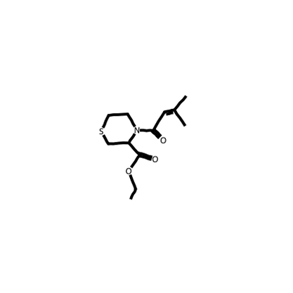 CCOC(=O)C1CSCCN1C(=O)C=C(C)C